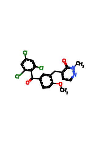 COc1ccc(C(=O)c2c(Cl)cc(Cl)cc2Cl)cc1Cc1ccnn(C)c1=O